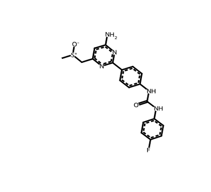 C[S+]([O-])Cc1cc(N)nc(-c2ccc(NC(=O)Nc3ccc(F)cc3)cc2)n1